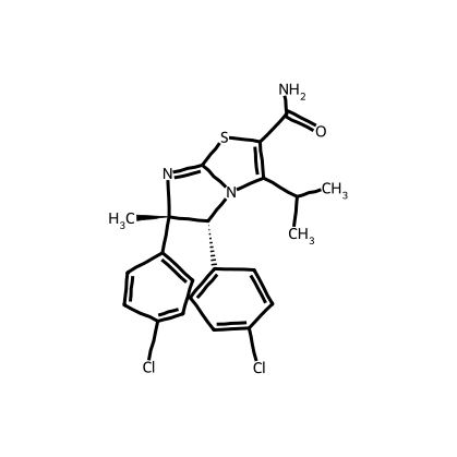 CC(C)C1=C(C(N)=O)SC2=N[C@@](C)(c3ccc(Cl)cc3)[C@@H](c3ccc(Cl)cc3)N21